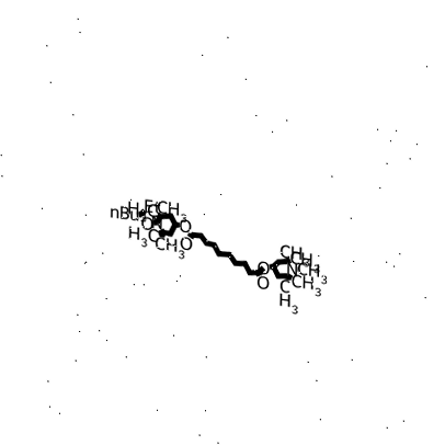 CCCCC(CC)ON1C(C)(C)CC(OC(=O)CCCCCCCCC(=O)OC2CC(C)(C)N(C)C(C)(C)C2)CC1(C)C